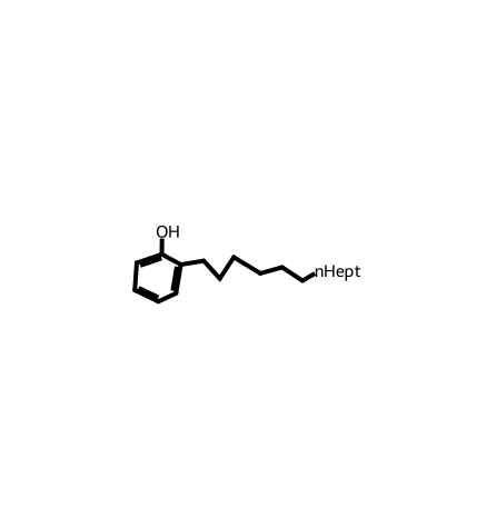 CCCCCCCCCCCCCc1ccccc1O